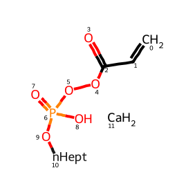 C=CC(=O)OOP(=O)(O)OCCCCCCC.[CaH2]